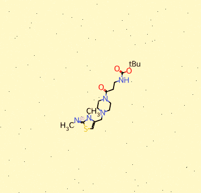 C/N=c1\scc(CN2CCN(C(=O)CCNC(=O)OC(C)(C)C)CC2)n1C